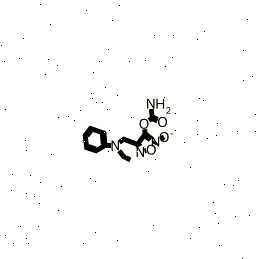 CCN(Cc1no[n+]([O-])c1OC(N)=O)c1ccccc1